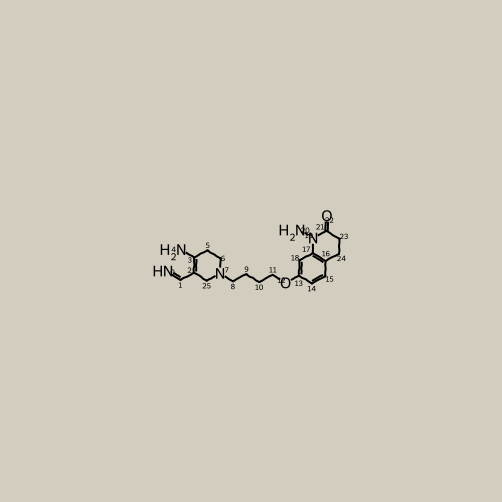 N=CC1=C(N)CCN(CCCCOc2ccc3c(c2)N(N)C(=O)CC3)C1